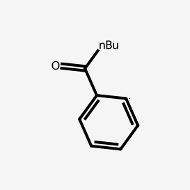 CCCCC(=O)c1[c]cccc1